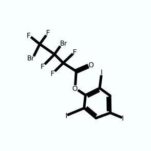 O=C(Oc1c(I)cc(I)cc1I)C(F)(F)C(F)(Br)C(F)(F)Br